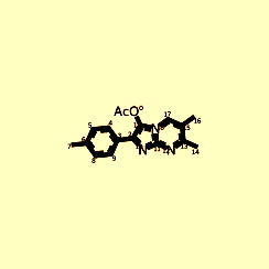 CC(=O)Oc1c(-c2ccc(C)cc2)nc2nc(C)c(C)cn12